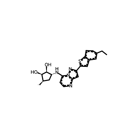 [CH2][C@@H]1C[C@@H](Nc2ccnc3cc(-c4cc5cc(CC)ccc5s4)nn23)[C@H](O)[C@@H]1O